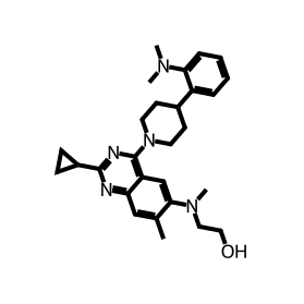 Cc1cc2nc(C3CC3)nc(N3CCC(c4ccccc4N(C)C)CC3)c2cc1N(C)CCO